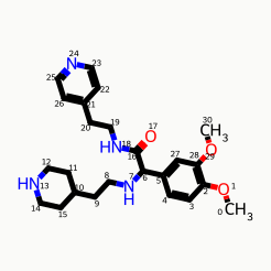 COc1ccc(C(NCCC2CCNCC2)C(=O)NCCc2ccncc2)cc1OC